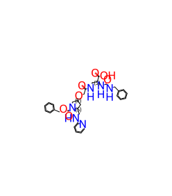 O=C(CO[C@@H]1C[C@@H](CNc2ccccn2)N(C(=O)OCc2ccccc2)C1)NC[C@H](NC(=O)NCc1ccccc1)C(=O)O